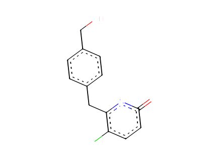 O=c1ccc(Cl)c(Cc2ccc(CO)cc2)[nH]1